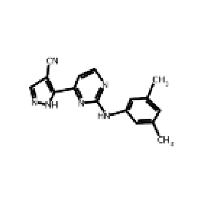 Cc1cc(C)cc(Nc2nccc(-c3[nH]ncc3C#N)n2)c1